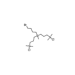 C[Si](C)(Cl)CCC[Si](C)(CCCCBr)CCC[Si](C)(C)Cl